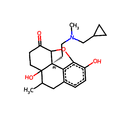 CC1Cc2ccc(O)c3c2[C@]2(CCN(C)CC4CC4)C(O3)C(=O)CCC12O